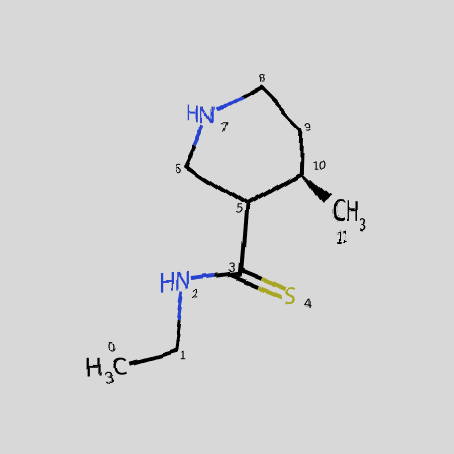 CCNC(=S)C1CNCC[C@H]1C